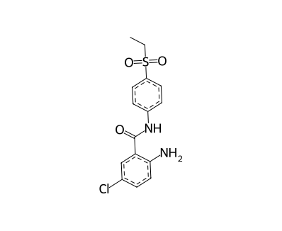 CCS(=O)(=O)c1ccc(NC(=O)c2cc(Cl)ccc2N)cc1